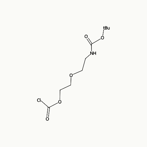 CC(C)(C)OC(=O)NCCOCCOC(=O)Cl